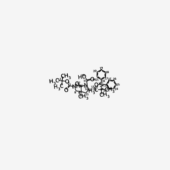 CC(C)(C)OC(=O)NC[C@]1(C)C[C@@H](CO[Si](c2ccccc2)(c2ccccc2)C(C)(C)C)N(C(=O)O)C1=O